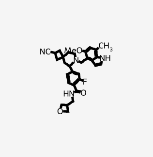 COc1cc(C)c2[nH]ccc2c1CN1CCC2(CC(C#N)C2)CC1c1ccc(C(=O)NCC2COC2)c(F)c1